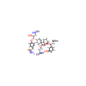 CC(C)NCC(O)COc1ccc(CC(N)=O)cc1.CCN(CC)CCOC(=O)C1(C2CCCCC2)CCCCC1.CNC[C@H](O)c1cccc(O)c1